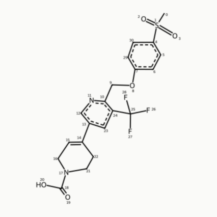 CS(=O)(=O)c1ccc(OCc2ncc(C3=CCN(C(=O)O)CC3)cc2C(F)(F)F)cc1